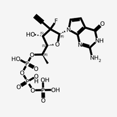 C#CC1(F)[C@@H](O)[C@@H]([C@@H](C)OP(=O)(O)OP(=O)(O)OP(=O)(O)O)O[C@H]1n1ccc2c(=O)[nH]c(N)nc21